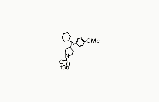 COc1ccc(N(C2CCCCC2)C2CCN(C(=O)OC(C)(C)C)CC2)cc1